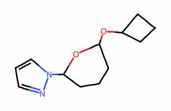 c1cnn(C2CCCC(OC3CCC3)O2)c1